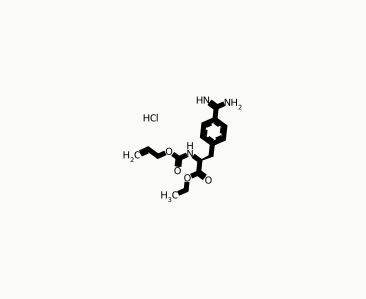 C=CCOC(=O)N[C@@H](Cc1ccc(C(=N)N)cc1)C(=O)OCC.Cl